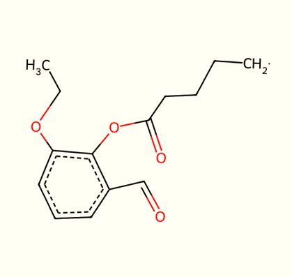 [CH2]CCCC(=O)Oc1c(C=O)cccc1OCC